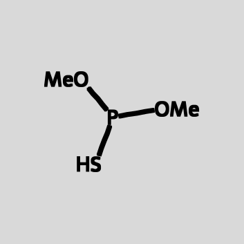 COP(S)OC